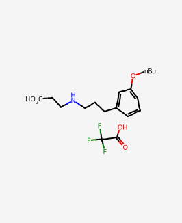 CCCCOc1cccc(CCCNCCC(=O)O)c1.O=C(O)C(F)(F)F